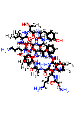 CCC(C)[C@H](NC(=O)[C@H](CCCCN)NC(=O)[C@H](Cc1c[nH]c2ccccc12)NC(=O)[C@@H](NC(=O)[C@H](C)NC(=O)[C@H](Cc1ccccc1)NC(=O)[C@H](CC(C)C)NC(=O)[C@H](CCCCN)NC(=O)CON)C(C)C)C(=O)N[C@H](C(=O)N[C@@H](Cc1ccc(O)cc1)C(=O)N[C@@H](CCCCN)C(=O)N[C@@H](CC(=O)O)C(=O)N[C@H](C(=O)O)C(C)O)C(C)O